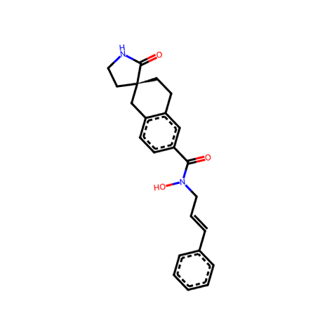 O=C(c1ccc2c(c1)CC[C@]1(CCNC1=O)C2)N(O)CC=Cc1ccccc1